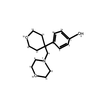 Oc1ccc(C2(CN3CCOCC3)CCOCC2)cc1